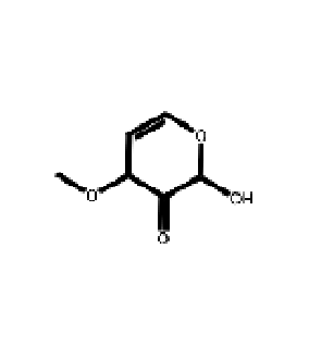 COC1C=COC(O)C1=O